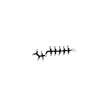 FC(F)=C(F)C(F)(F)OCC(F)(F)C(F)(F)C(F)(F)C(F)(F)C(F)(F)C(F)(F)F